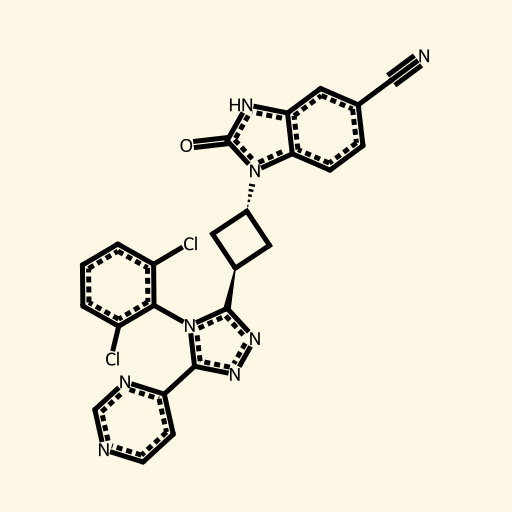 N#Cc1ccc2c(c1)[nH]c(=O)n2[C@H]1C[C@H](c2nnc(-c3ccncn3)n2-c2c(Cl)cccc2Cl)C1